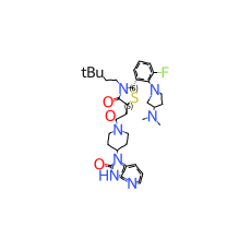 CN(C)C1CCN(c2c(F)cccc2[C@@H]2S[C@@H](CC(=O)N3CCC(n4c(=O)[nH]c5ncccc54)CC3)C(=O)N2CCC(C)(C)C)C1